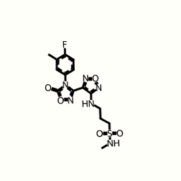 CNS(=O)(=O)CCCNc1nonc1-c1noc(=O)n1-c1ccc(F)c(C)c1